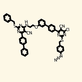 N#Cc1c(Cl)nc(SCc2ccc(N=[N+]=[N-])cc2)nc1-c1ccc(-c2cccc(OCCNc3nc(SCc4ccccc4)nc(-c4ccc(-c5ccccc5)cc4)c3C#N)c2)cc1